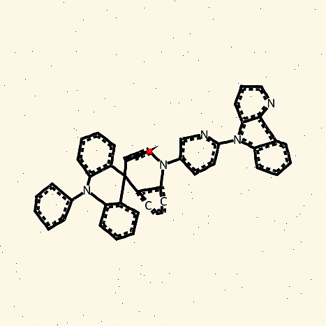 c1ccc(N2c3ccccc3C3(c4ccccc42)c2ccccc2N(c2ccc(-n4c5ccccc5c5ncccc54)nc2)c2ccccc23)cc1